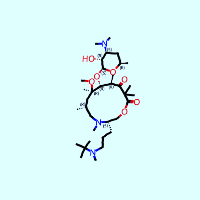 CO[C@]1(C)C[C@@H](C)CN(C)[C@@H](CCCN(C)C(C)(C)C)COC(=O)C(C)(C)C(=O)[C@H](C)[C@H]1O[C@@H]1O[C@H](C)C[C@H](N(C)C)[C@H]1O